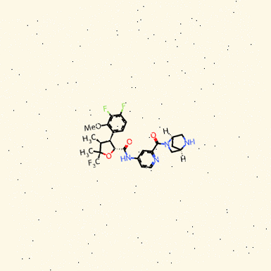 COc1c([C@H]2[C@H](C(=O)Nc3ccnc(C(=O)N4C[C@H]5C[C@@H]4CN5)c3)O[C@@](C)(C(F)(F)F)[C@H]2C)ccc(F)c1F